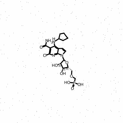 NC(=O)c1c(Cl)nc2c(ccn2C2O[C@H](COCP(=O)(O)O)[C@@H](O)[C@H]2O)c1NC1CCCC1